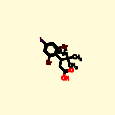 CC(C)(C)C(CC(=O)O)c1c(Br)cc(I)cc1Br